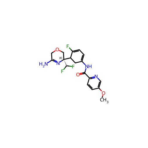 COc1ccc(C(=O)NC2=CC=C(F)C([C@]3(C(F)F)COCC(N)=N3)C2)nc1